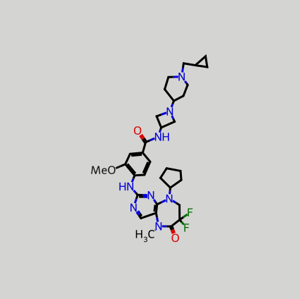 COc1cc(C(=O)NC2CN(C3CCN(CC4CC4)CC3)C2)ccc1Nc1ncc2c(n1)N(C1CCCC1)CC(F)(F)C(=O)N2C